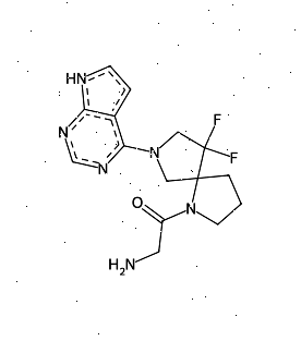 NCC(=O)N1CCCC12CN(c1ncnc3[nH]ccc13)CC2(F)F